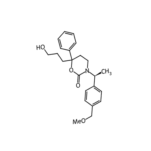 COCc1ccc([C@H](C)N2CCC(CCCO)(c3ccccc3)OC2=O)cc1